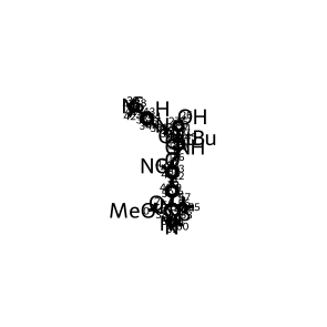 COC(=O)C[C@@H]1N=C(c2ccc(-c3ccc(OCC(=O)N[C@H](C(=O)N4C[C@H](O)C[C@H]4C(=O)NCc4ccc(-c5scnc5C)cc4)C(C)(C)C)c(C#N)c3)cc2)c2c(sc(C)c2C)-n2c(C)nnc21